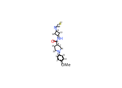 COc1ccc(N2CCC(C(=O)NC3CC(N=C=S)C3)CC2)cc1